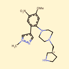 COc1cc(N2CCN(C[C@H]3CCNC3)CC2)c(-c2cnn(C)c2)cc1[N+](=O)[O-]